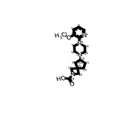 COc1cccnc1N1CCN([C@H]2CCC3(C2)CN(C(=O)O)C3)CC1